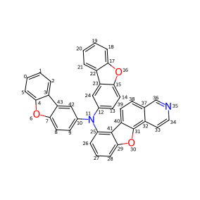 c1ccc2c(c1)oc1ccc(N(c3ccc4oc5ccccc5c4c3)c3cccc4oc5c6ccncc6ccc5c34)cc12